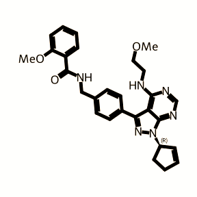 COCCNc1ncnc2c1c(-c1ccc(CNC(=O)c3ccccc3OC)cc1)nn2[C@H]1C=CCC1